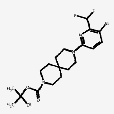 CC(C)(C)OC(=O)N1CCC2(CC1)CCN(c1ccc(Br)c(C(F)F)n1)CC2